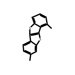 Cc1ccc2c(c1)sc1c2sc2cccc(C)c21